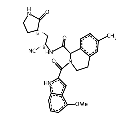 COc1cccc2[nH]c(C(=O)N3CCc4cc(C)ccc4C3C(=O)N[C@H](C#N)C[C@@H]3CCNC3=O)cc12